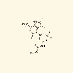 Cc1[nH]c2c(C(=O)O)cc(F)c(N3C[C@@H](NC(=O)OC(C)(C)C)CC(F)(F)C3)c2c1C